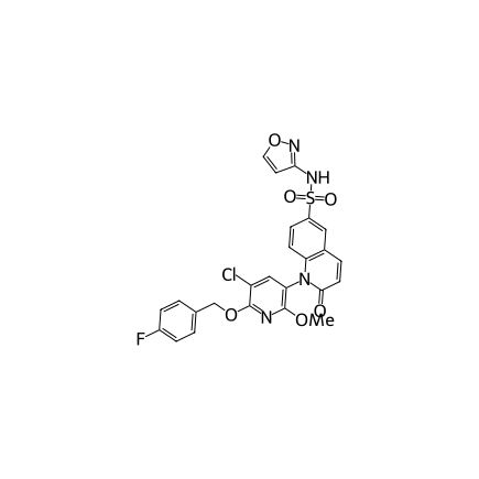 COc1nc(OCc2ccc(F)cc2)c(Cl)cc1-n1c(=O)ccc2cc(S(=O)(=O)Nc3ccon3)ccc21